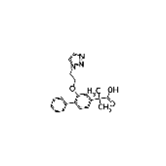 CC(C)(C(=O)O)c1ccc(-c2ccccc2)c(OCCn2ccnn2)c1